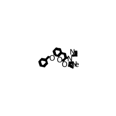 COC(=O)C(=Cc1cccc(OCc2ccccc2)c1)N(C1=NC=C1)C1=NC=C1